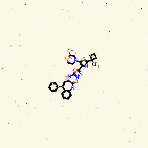 C[C@H]1CN(c2sc(C3(C(F)(F)F)CCC3)nc2-c2nnc(N[C@H]3C=C(c4ccccc4)c4ccccc4NC3=O)o2)CCO1